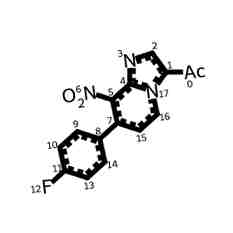 CC(=O)c1cnc2c([N+](=O)[O-])c(-c3ccc(F)cc3)ccn12